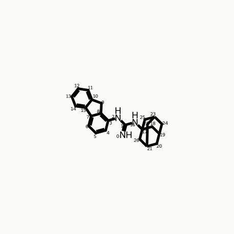 N=C(Nc1cccc2c1Cc1ccccc1-2)NC12CC3CC(CC(C3)C1)C2